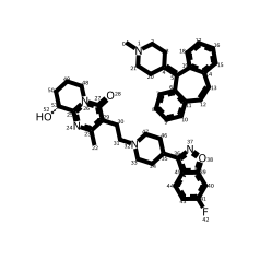 CN1CCC(=C2c3ccccc3C=Cc3ccccc32)CC1.Cc1nc2n(c(=O)c1CCN1CCC(c3noc4cc(F)ccc34)CC1)CCC[C@H]2O